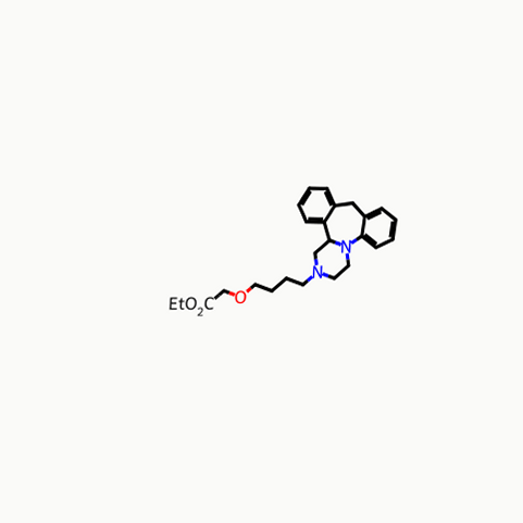 CCOC(=O)COCCCCN1CCN2c3ccccc3Cc3ccccc3C2C1